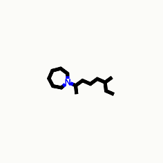 CCC(C)CCCC(C)N1CCCCCC1